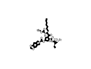 C=CCCCCC[C@H](NC(=O)OC(C)(C)C)C(=O)C1C[C@H](OC(=O)N2Cc3cc4c(cc3C2)OCO4)C[C@H]1C(=O)N[C@]1(C(=O)OCC)C[C@H]1C=C